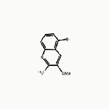 COc1cc2c(Br)cccc2nc1C